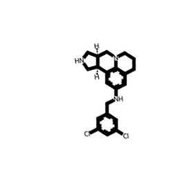 Clc1cc(Cl)cc(CNc2cc3c4c(c2)[C@H]2CNC[C@H]2CN4CCC3)c1